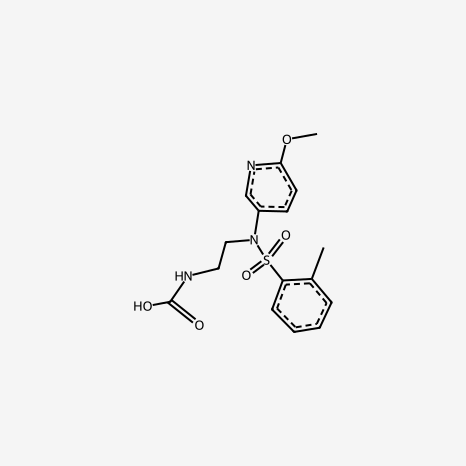 COc1ccc(N(CCNC(=O)O)S(=O)(=O)c2ccccc2C)cn1